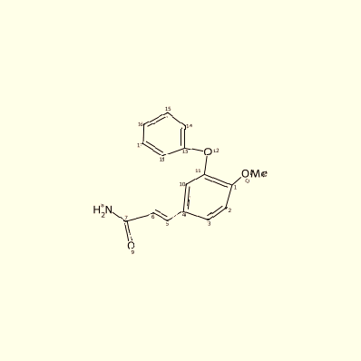 COc1ccc(C=CC(N)=O)cc1Oc1ccccc1